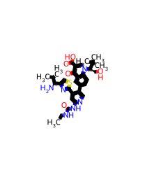 CCNC(=O)Nc1cc(-c2nc([C@H](N)C(C)C)cs2)c(-c2ccc3c(c2)c(=O)c(C(=O)O)cn3[C@H](CO)C(C)(C)C)cn1